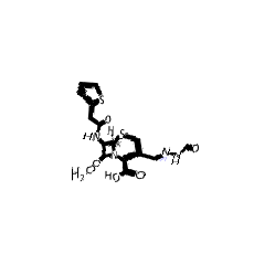 O.O=CN/N=C/C1=C(C(=O)O)N2C(=O)C(NC(=O)Cc3cccs3)[C@H]2SC1